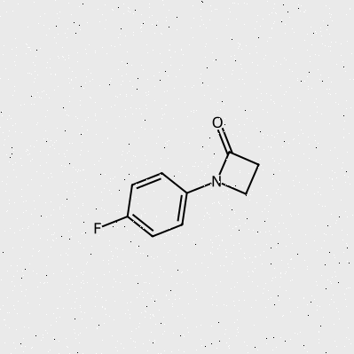 O=C1CCN1c1ccc(F)cc1